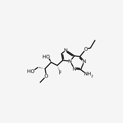 CCOc1nc(N)nn2c([C@H](F)[C@H](O)[C@@H](CO)OC)cnc12